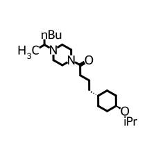 CCCCC(C)N1CCN(C(=O)CCC[C@H]2CC[C@H](OC(C)C)CC2)CC1